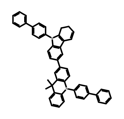 CC1(C)c2ccccc2N(c2ccc(-c3ccccc3)cc2)c2ccc(-c3ccc4c(c3)c3c(n4-c4ccc(-c5ccccc5)cc4)CCC=C3)cc21